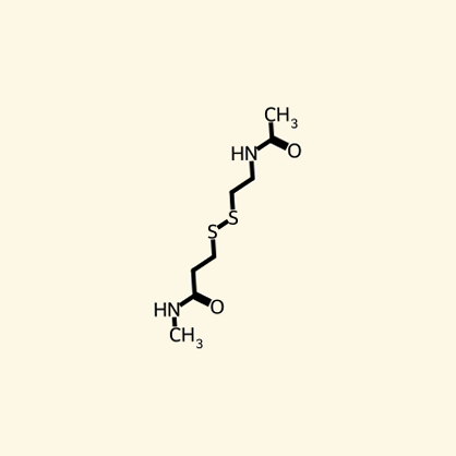 CNC(=O)CCSSCCNC(C)=O